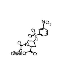 COC(=O)C1CC(OS(=O)(=O)c2cccc([N+](=O)[O-])c2)CN1C(=O)OC(C)(C)C